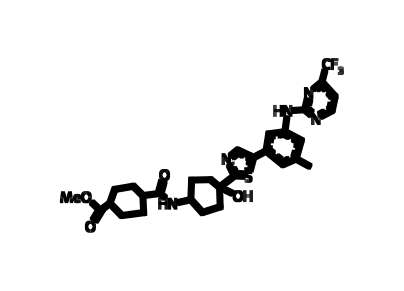 COC(=O)C1CCC(C(=O)NC2CCC(O)(c3ncc(-c4cc(C)cc(Nc5nccc(C(F)(F)F)n5)c4)s3)CC2)CC1